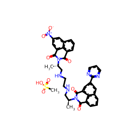 CS(=O)(=O)O.C[C@@H](CNCCNC[C@H](C)N1C(=O)c2cccc3cc([N+](=O)[O-])cc(c23)C1=O)N1C(=O)c2cccc3cc(-c4ncccn4)cc(c23)C1=O